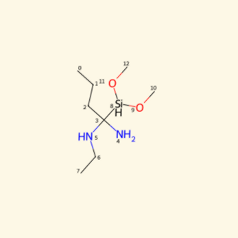 CCCC(N)(NCC)[SiH](OC)OC